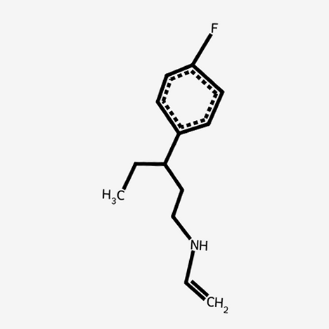 C=CNCCC(CC)c1ccc(F)cc1